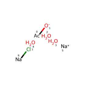 CC(=O)[O-].O.O.O.[Na+].[Na][Cl]